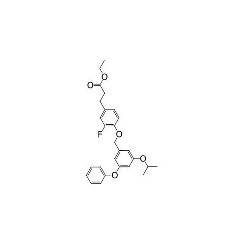 CCOC(=O)CCc1ccc(OCc2cc(Oc3ccccc3)cc(OC(C)C)c2)c(F)c1